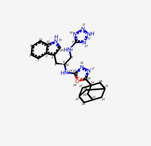 c1ccc2c(C[C@@H](CNc3nn[nH]n3)Nc3nnc(C45CC6CC(CC(C6)C4)C5)o3)c[nH]c2c1